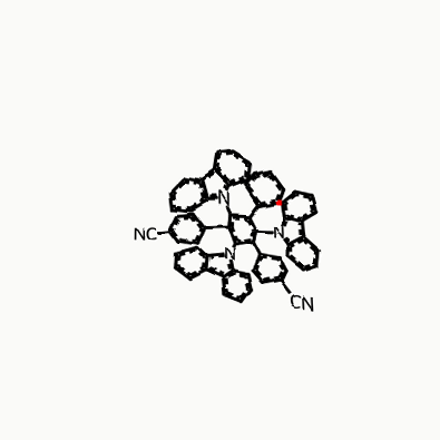 N#Cc1ccc(-c2c(-n3c4ccccc4c4ccccc43)c(-c3ccccc3)c(-n3c4ccccc4c4ccccc43)c(-c3ccc(C#N)cc3)c2-n2c3ccccc3c3ccccc32)cc1